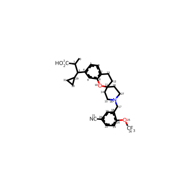 CC(C(=O)O)C(c1ccc2c(c1)OC1(CC2)CCN(Cc2cc(C#N)ccc2OC(F)(F)F)CC1)C1CC1